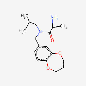 CC(C)CN(Cc1ccc2c(c1)OCCCO2)C(=O)[C@H](C)N